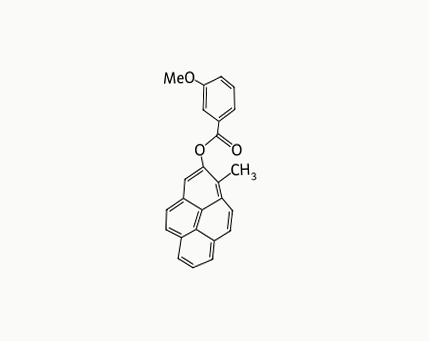 COc1cccc(C(=O)Oc2cc3ccc4cccc5ccc(c2C)c3c45)c1